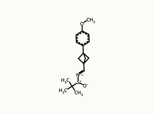 COc1ccc(C23CC(/C=N/[S+]([O-])C(C)(C)C)(C2)C3)cc1